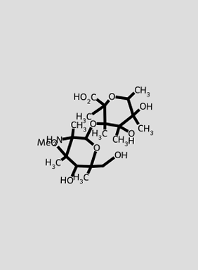 COC1(C)C(O)C(C)(CO)OC(OC2(C)C(C)(C(=O)O)OC(C)C(C)(O)C2(C)O)C1(C)N